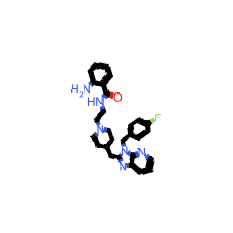 Nc1ccccc1C(=O)NCCN1CCC(Cc2nc3cccnc3n2Cc2ccc(F)cc2)CC1